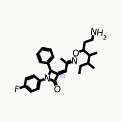 CCC(C)C(C)C(CCN)ON=C(C)/C=C1/C(=O)N(c2ccc(F)cc2)C1c1ccccc1